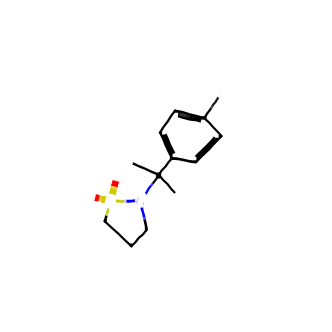 CC(C)(c1ccc(C=O)cc1)N1CCCS1(=O)=O